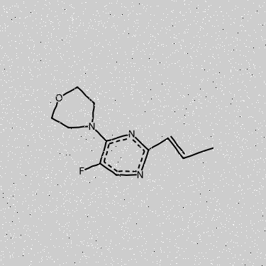 CC=Cc1ncc(F)c(N2CCOCC2)n1